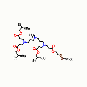 CCCCCCCCSSCCOC(=O)CCN(CCCN(C)CCCN(CCC(=O)OCC(CC)CCCC)CCC(=O)OCC(CC)CCCC)CCC(=O)OCC(CC)CCCC